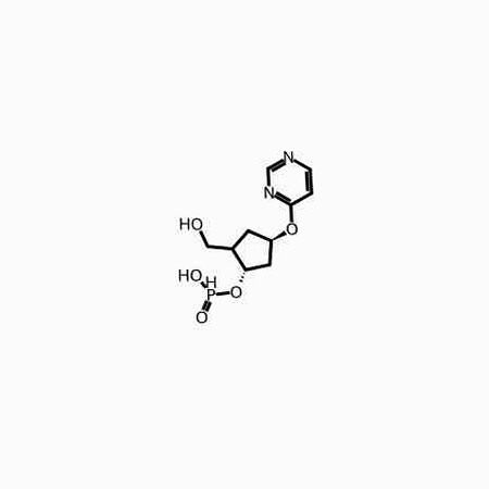 O=[PH](O)O[C@H]1C[C@H](Oc2ccncn2)CC1CO